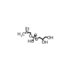 CCN(C)COP(=O)(O)OCC(O)CO